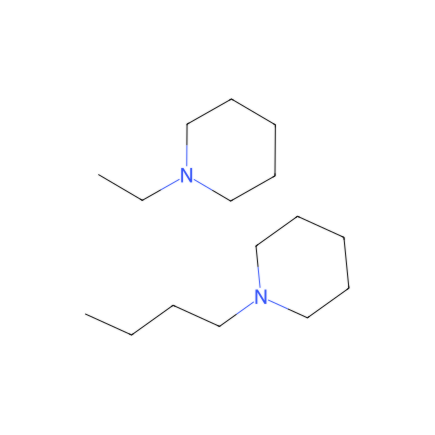 CCCCN1CCCCC1.CCN1CCCCC1